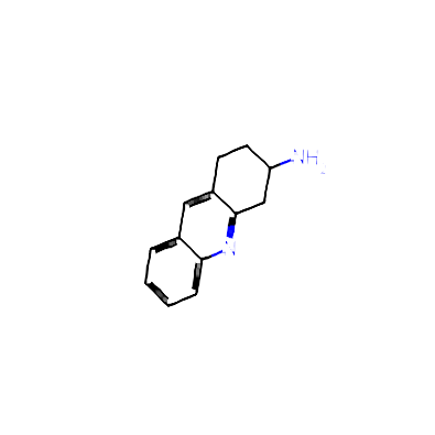 NC1CCc2cc3ccccc3nc2C1